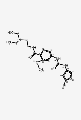 CCN(CC)CCNC(=O)c1ccc(NC(=O)Nc2csc(Br)c2)cc1OC